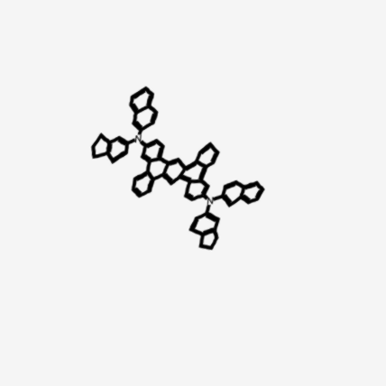 c1ccc2cc(N(c3ccc4c(c3)CCC4)c3ccc4c(c3)c3ccccc3c3cc5c6ccc(N(c7ccc8c(c7)CCC8)c7ccc8ccccc8c7)cc6c6ccccc6c5cc43)ccc2c1